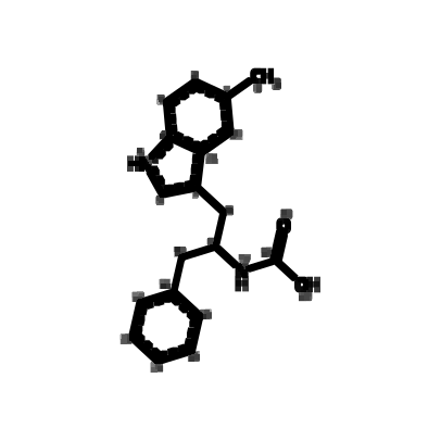 Cc1ccc2[nH]cc(CC(Cc3ccccc3)NC(=O)O)c2c1